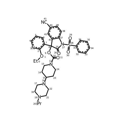 CCOc1ncccc1C1(OC(=O)N2CCC(N3CCN(C(C)C)CC3)CC2)C(=O)N(S(=O)(=O)c2ccccc2)c2ccc(C#N)cc21